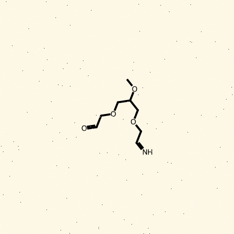 COC(COCC=N)COCC=O